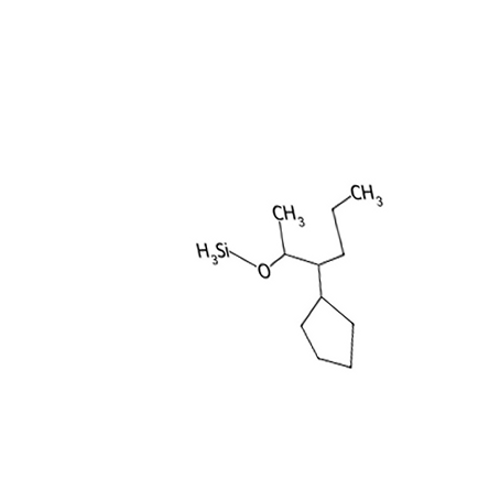 CCCC(C1CCCC1)C(C)O[SiH3]